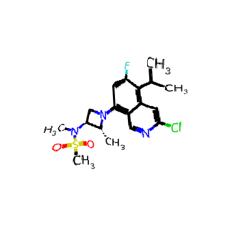 CC(C)c1c(F)cc(N2C[C@H](N(C)S(C)(=O)=O)[C@H]2C)c2cnc(Cl)cc12